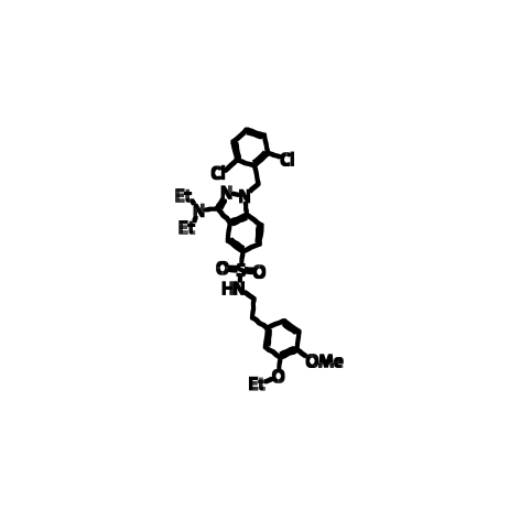 CCOc1cc(CCNS(=O)(=O)c2ccc3c(c2)c(N(CC)CC)nn3Cc2c(Cl)cccc2Cl)ccc1OC